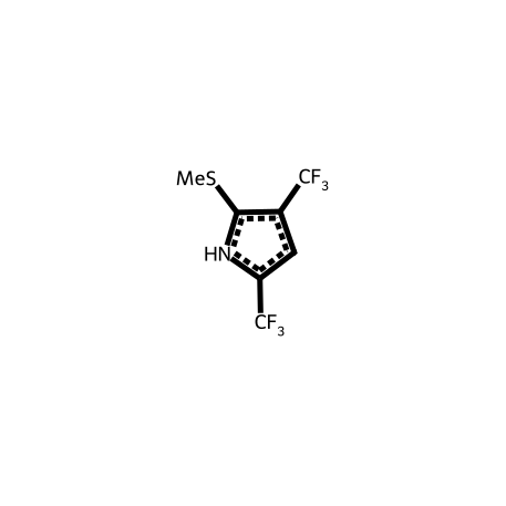 CSc1[nH]c(C(F)(F)F)cc1C(F)(F)F